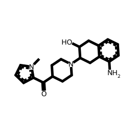 Cn1cccc1C(=O)C1CCN(C2Cc3c(N)cccc3CC2O)CC1